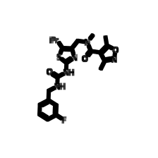 Cc1noc(C)c1C(=O)N(C)Cc1nc(NC(=O)NCc2cccc(F)c2)sc1C(C)C